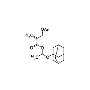 C=C(COC(C)=O)C(=O)OC(C)OC12CC3CC(CC(C3)C1)C2